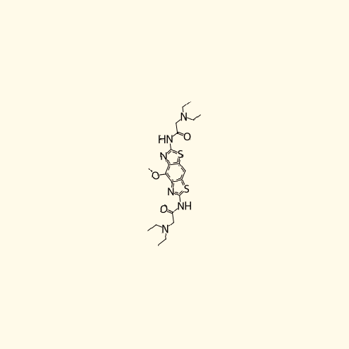 CCN(CC)CC(=O)Nc1nc2c(OC)c3nc(NC(=O)CN(CC)CC)sc3cc2s1